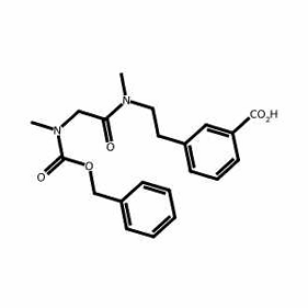 CN(CCc1cccc(C(=O)O)c1)C(=O)CN(C)C(=O)OCc1ccccc1